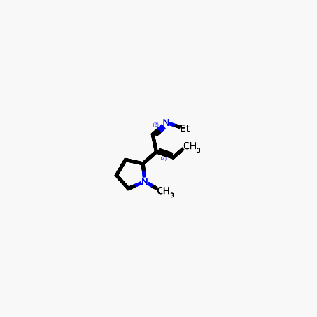 C/C=C(\C=N/CC)C1CCCN1C